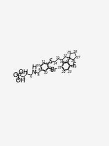 O=P(O)(O)CCCNCc1ccc(SCCCCC2(c3ccccc3F)CCCC2)c(Br)c1